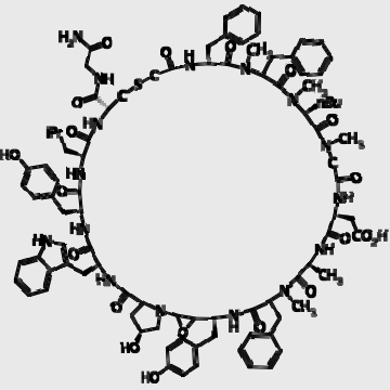 CCCC[C@H]1C(=O)N(C)CC(=O)N[C@@H](CC(=O)O)C(=O)N[C@@H](C)C(=O)N(C)C(Cc2ccccc2)C(=O)N[C@@H](Cc2ccc(O)cc2)C2OC2N2C[C@@H](O)CC2C(=O)N[C@@H](Cc2c[nH]c3ccccc23)C(=O)N[C@@H](Cc2ccc(O)cc2)C(=O)N[C@@H](CC(C)C)C(=O)N[C@H](C(=O)NCC(N)=O)CSCC(=O)N[C@@H](Cc2ccccc2)C(=O)N(C)C(Cc2ccccc2)C(=O)N1C